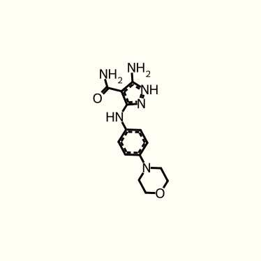 NC(=O)c1c(Nc2ccc(N3CCOCC3)cc2)n[nH]c1N